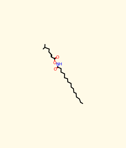 CCCCCCCCCCCCCCCC(=O)NOC(=O)C=CCCC(C)C